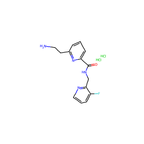 Cl.Cl.NCCc1cccc(C(=O)NCc2ncccc2F)n1